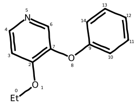 CCOc1ccncc1Oc1ccccc1